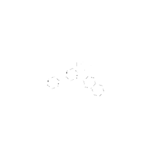 CC1(C)c2ccc(-c3ccccc3Cl)cc2-c2cc3ccccc3cc21